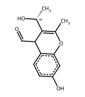 CC1=C([C@@H](C)O)C(C=O)c2ccc(O)cc2O1